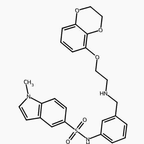 Cn1ccc2cc(S(=O)(=O)Nc3cccc(CNCCOc4cccc5c4OCCO5)c3)ccc21